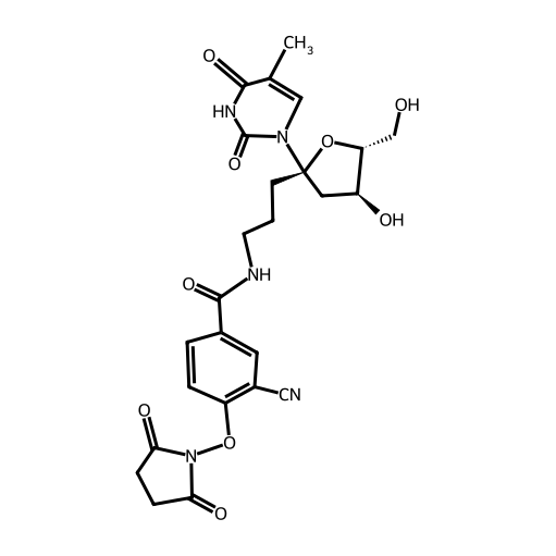 Cc1cn([C@@]2(CCCNC(=O)c3ccc(ON4C(=O)CCC4=O)c(C#N)c3)C[C@H](O)[C@@H](CO)O2)c(=O)[nH]c1=O